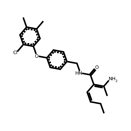 CC/C=C\C(C(=O)NCc1ccc(Oc2cc(C)c(C)cc2Cl)cc1)=C(/C)N